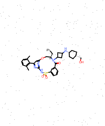 Cc1cccc(C)c1-c1cc2nc(n1)NS(=O)(=O)c1cccc(c1)C(=O)N(C1CC(N[C@H]3CC[C@@H](CO)CC3)C1)[C@H](CC(C)C)CO2